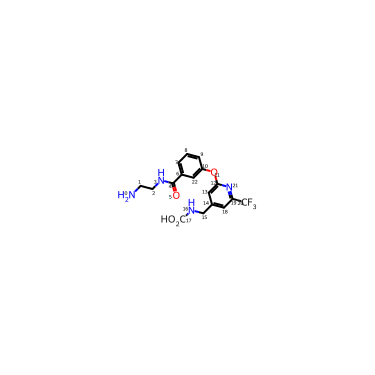 NCCNC(=O)c1cccc(Oc2cc(CNC(=O)O)cc(C(F)(F)F)n2)c1